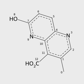 Cc1cnc2ccc(O)nc2c1C(=O)O